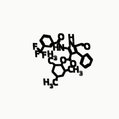 CC1CC(C)C(OC(=O)c2c(NC(=O)c3cccc(C(F)(F)F)c3)[nH]c(C=O)c2-c2ccccc2)C(C)C1